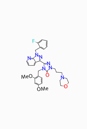 COc1ccc(Cn2c(-c3nn(Cc4ccccc4F)c4ncccc34)nn(CCCN3CCOCC3)c2=O)c(OC)c1